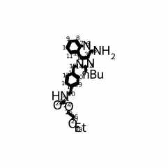 CCCCc1nc2c(N)nc3ccccc3c2n1Cc1ccc(CNC(=O)OCCOCC)cc1